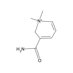 C[N+]1(C)C=CC=C(C(N)=O)C1